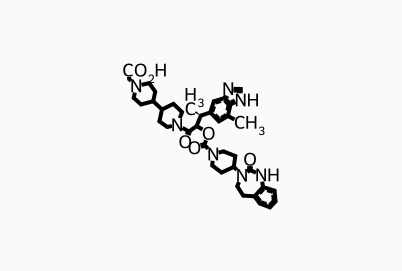 Cc1cc([C@@H](C)C(OC(=O)N2CCC(N3CCc4ccccc4NC3=O)CC2)C(=O)N2CCC(C3CCN(CC(=O)O)CC3)CC2)cc2nc[nH]c12